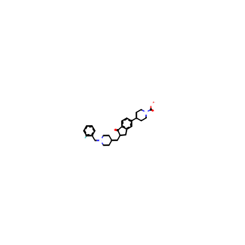 CC(C)(C)OC(=O)N1CCC(c2ccc3c(c2)CC(CC2CCN(Cc4ccccc4F)CC2)C3=O)CC1